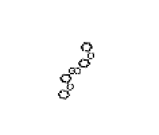 c1ccc(Oc2ccc(OOc3cccc(Oc4ccccc4)c3)cc2)cc1